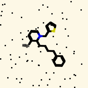 O=C(O)C1=CC=CN(Cc2cccs2)C1CCCCc1ccccc1